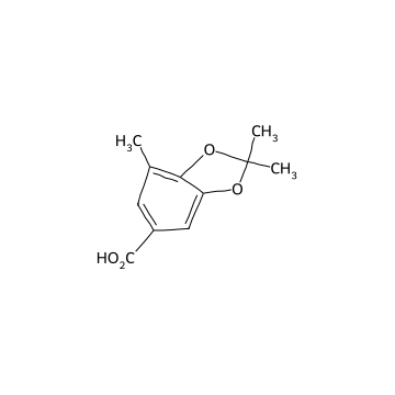 Cc1cc(C(=O)O)cc2c1OC(C)(C)O2